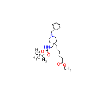 COC(=O)CCCCCC1(CNC(=O)OC(C)(C)C)CCN(Cc2ccccc2)CC1